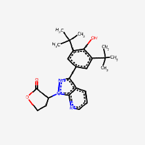 CC(C)(C)c1cc(-c2nn(C3CCOC3=O)c3ncccc23)cc(C(C)(C)C)c1O